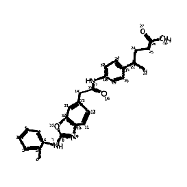 Cc1ccccc1Nc1nc2ccc(CC(=O)Nc3ccc(C(C)CCC(=O)O)cc3)cc2o1